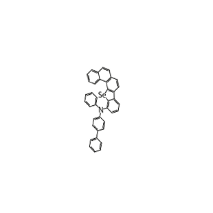 c1ccc(-c2ccc(N(c3ccccc3)c3cccc4c3[se]c3c4ccc4ccc5ccccc5c43)cc2)cc1